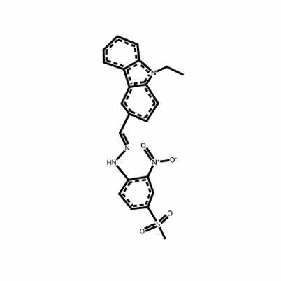 CCn1c2ccccc2c2cc(/C=N/Nc3ccc(S(C)(=O)=O)cc3[N+](=O)[O-])ccc21